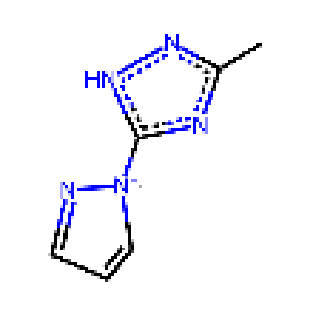 Cc1n[nH]c([N+]2C=CC=N2)n1